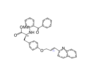 COC(=O)[C@H](Cc1ccc(OC/C=C/c2ccc3ccccc3n2)cc1)Nc1ccccc1C(=O)c1ccccc1